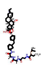 C/C=C1\C=C[C@@]2(C)C(=C1)CC[C@H]1C3C[C@H]4O[C@@H](c5ccc(Cc6cccc(NC(=O)[C@H](C)NC(=O)[C@H](C)NC(=O)CCNC(=O)C(CC(=O)O)SC(C)CCCC)c6)cc5)O[C@@]4(C(=O)CO)[C@@]3(C)C[C@H](O)[C@@H]12